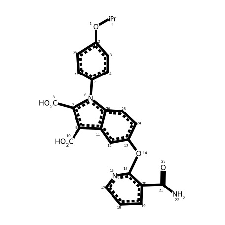 CC(C)Oc1ccc(-n2c(C(=O)O)c(C(=O)O)c3cc(Oc4ncccc4C(N)=O)ccc32)cc1